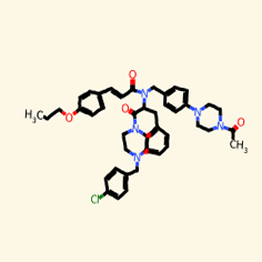 CCCOc1ccc(C=CC(=O)N(Cc2ccc(N3CCN(C(C)=O)CC3)cc2)C(Cc2ccccc2)C(=O)N2CCN(Cc3ccc(Cl)cc3)CC2)cc1